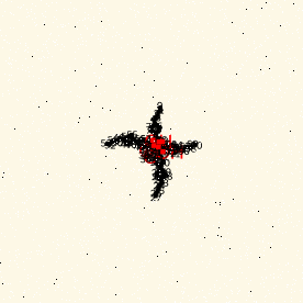 CCCCCc1ccc(-c2ccc(C(O)(c3ccc(-c4ccc(CCCCC)cc4)cc3)[C@@H]3OC(C)(C)O[C@H]3C(O)(c3ccc(-c4ccc(CCCCC)cc4)cc3)c3ccc(-c4ccc(CCCCC)cc4)cc3)cc2)cc1